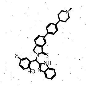 CN1CCC(c2ccc(-c3ccc4c(c3)C(=S)N(C(c3nc5ccccc5[nH]3)c3cc(F)ccc3O)C4)cc2)CC1